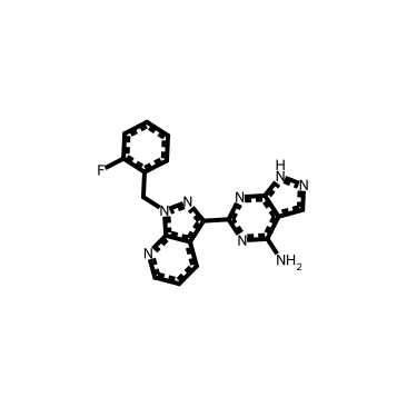 Nc1nc(-c2nn(Cc3ccccc3F)c3ncccc23)nc2[nH]ncc12